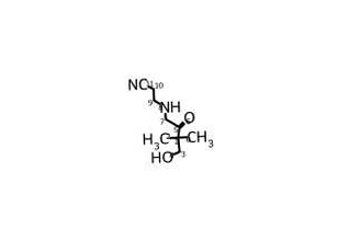 CC(C)(CO)C(=O)CNCCC#N